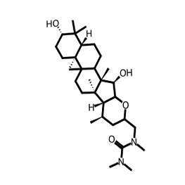 C[C@@H]1CC(CN(C)C(=O)N(C)C)OC2[C@H]1[C@@]1(C)CCC34C[C@@]35CC[C@H](O)C(C)(C)[C@@H]5CCC4[C@]1(C)[C@H]2O